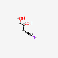 OCC(O)CC#CI